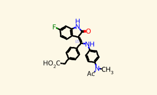 CC(=O)N(C)c1ccc(N/C(=C2\C(=O)Nc3cc(F)ccc32)c2ccc(CC(=O)O)cc2)cc1